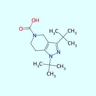 CC(C)(C)c1nn(C(C)(C)C)c2c1CN(C(=O)O)CC2